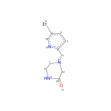 CCc1ccc(CN2CCNC(=O)C2)nc1